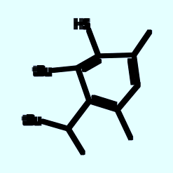 Cc1cc(C)c(C(C)C(C)(C)C)c(C(C)(C)C)c1S